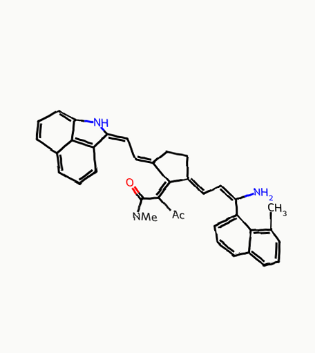 CNC(=O)/C(C(C)=O)=C1C(=C/C=C(/N)c2cccc3cccc(C)c23)/CCC/1=C\C=c1\[nH]c2cccc3cccc1c32